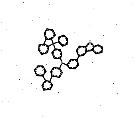 c1ccc(-c2ccccc2-c2ccc(N(c3ccc(C4(c5ccccc5)c5ccccc5-c5ccccc54)cc3)c3cccc(-c4ccc5oc6ccccc6c5c4)c3)cc2)cc1